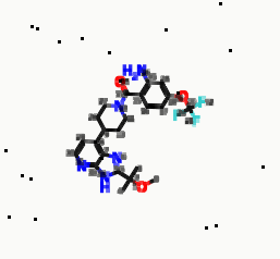 COC(C)(C)c1nc2c(C3CCN(C(=O)c4ccc(OC(F)(F)F)cc4N)CC3)ccnc2[nH]1